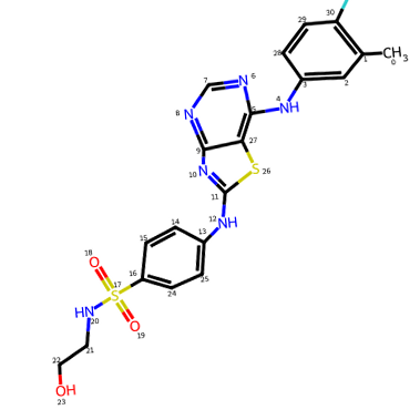 Cc1cc(Nc2ncnc3nc(Nc4ccc(S(=O)(=O)NCCO)cc4)sc23)ccc1F